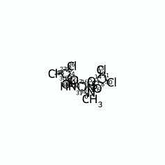 Cc1nn(S(=O)(=O)c2cc(Cl)cc(Cl)c2)c2ccc(NS(=O)(=O)c3cc(Cl)cc(Cl)c3)cc12